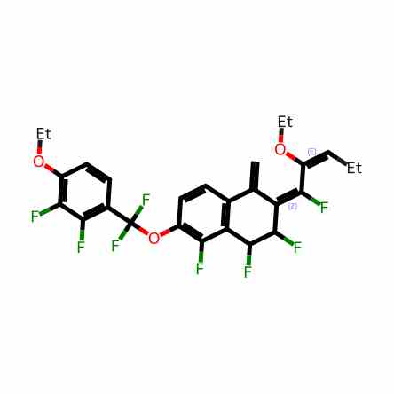 C=C1/C(=C(F)\C(=C/CC)OCC)C(F)C(F)c2c1ccc(OC(F)(F)c1ccc(OCC)c(F)c1F)c2F